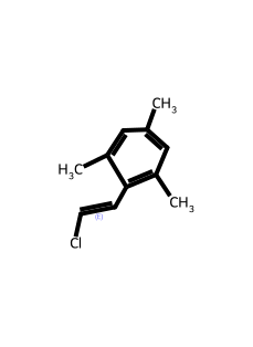 Cc1cc(C)c(/C=C/Cl)c(C)c1